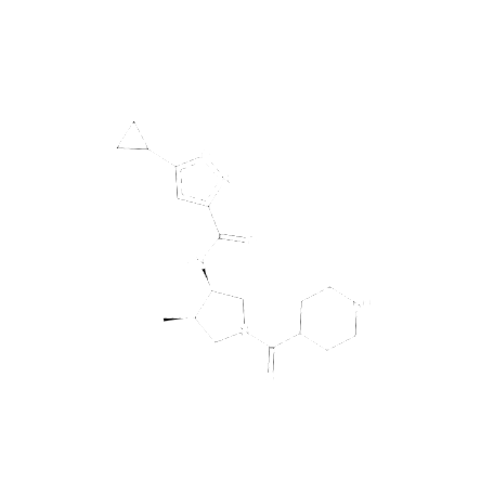 C[C@@H]1CN(C(=O)C2CCNCC2)C[C@@H]1NC(=O)c1cc(C2CC2)on1